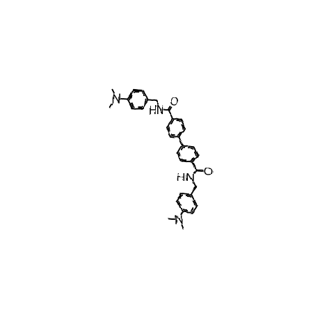 CN(C)c1ccc(CNC(=O)c2ccc(-c3ccc(C(=O)NCc4ccc(N(C)C)cc4)cc3)cc2)cc1